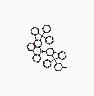 CC1C=CC=C(C2(c3ccccc3)c3ccccc3-c3ccc(N(c4ccc5c(c4)C(c4ccccc4)(c4ccccc4)c4ccccc4-5)c4ccccc4-c4ccccc4)cc32)C1